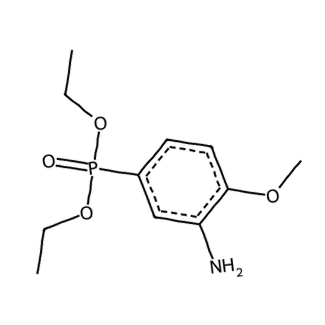 CCOP(=O)(OCC)c1ccc(OC)c(N)c1